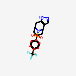 O=S(=O)(c1ccc(C(F)(F)F)cc1)N1C2Cc3[nH]ncc3C1CC(c1ccc(Br)cc1)C2